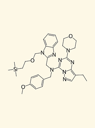 CCc1cnn2c(N(Cc3ccc(OC)cc3)Cc3nc4ccccc4n3COCC[Si](C)(C)C)nc(N3CCOCC3)nc12